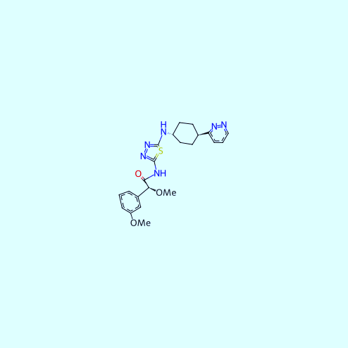 COc1cccc([C@H](OC)C(=O)Nc2nnc(N[C@H]3CC[C@H](c4cccnn4)CC3)s2)c1